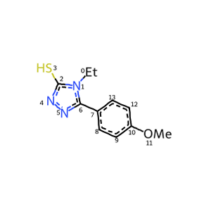 CCn1c(S)nnc1-c1ccc(OC)cc1